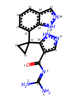 NC(N)=NC(=O)c1cn[nH]c1C1(c2cccc3cn[nH]c23)CC1